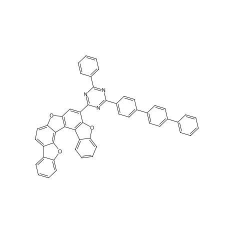 c1ccc(-c2ccc(-c3ccc(-c4nc(-c5ccccc5)nc(-c5cc6oc7ccc8c9ccccc9oc8c7c6c6c5oc5ccccc56)n4)cc3)cc2)cc1